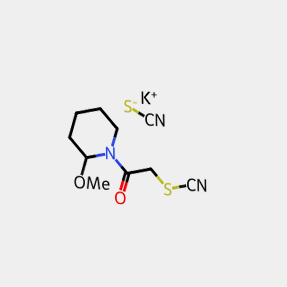 COC1CCCCN1C(=O)CSC#N.N#C[S-].[K+]